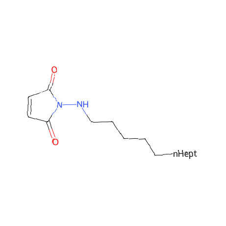 CCCCCCCCCCCCNN1C(=O)C=CC1=O